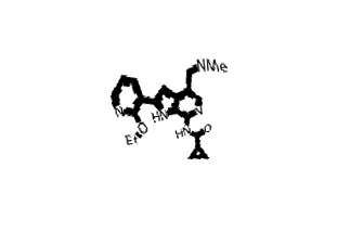 CCOc1ncccc1-c1cc2c(CNC)cnc(NC(=O)C3CC3)c2[nH]1